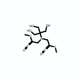 COC(=C=O)CN(CC(=C=O)OC)C(CO)(CO)CO